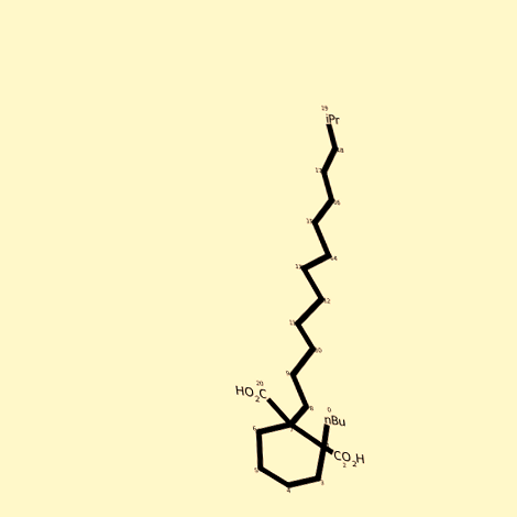 CCCCC1(C(=O)O)CCCCC1(CCCCCCCCCCCC(C)C)C(=O)O